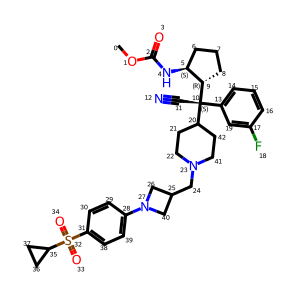 COC(=O)N[C@H]1CCC[C@@H]1[C@](C#N)(c1cccc(F)c1)C1CCN(CC2CN(c3ccc(S(=O)(=O)C4CC4)cc3)C2)CC1